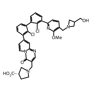 COc1nc(-c2cccc(-c3cccc(-c4ccn5c(=O)c(CN6CC[C@H](C(=O)O)C6)cnc5c4)c3Cl)c2Cl)ccc1CN1CC(CO)C1